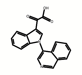 O=C(O)C(=O)c1cn(-c2cncc3ccccc23)c2ccccc12